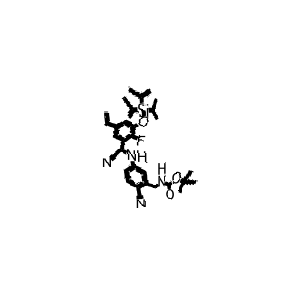 CCc1cc(O[Si](C(C)C)(C(C)C)C(C)C)c(F)c(C(C#N)Nc2ccc(C#N)c(CNC(=O)OC(C)(C)C)c2)c1